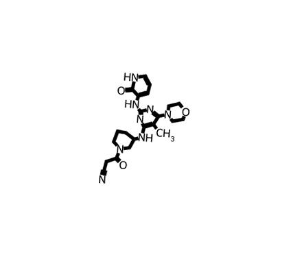 Cc1c(NC2CCCN(C(=O)CC#N)C2)nc(Nc2ccc[nH]c2=O)nc1N1CCOCC1